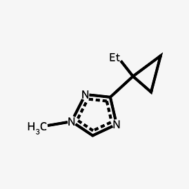 CCC1(c2ncn(C)n2)CC1